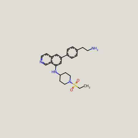 CCS(=O)(=O)N1CCC(Nc2cc(-c3ccc(CCN)cc3)cc3ccncc23)CC1